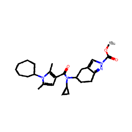 Cc1cc(C(=O)N(C2CC2)C2CCc3nn(C(=O)OC(C)(C)C)cc3C2)c(C)n1C1CCCCCC1